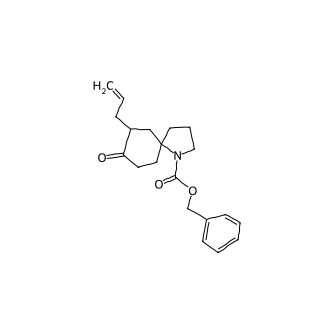 C=CCC1CC2(CCCN2C(=O)OCc2ccccc2)CCC1=O